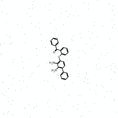 Nc1c(Oc2ccccc2C(=O)c2ccccc2)ccc(-c2ccccc2)c1N